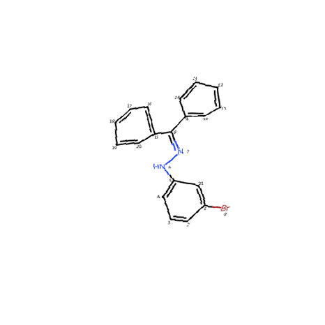 Brc1cccc(NN=C(c2ccccc2)c2ccccc2)c1